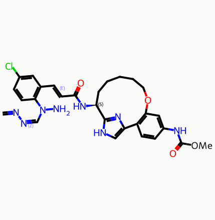 C=N/N=C\N(N)c1ccc(Cl)cc1/C=C/C(=O)N[C@H]1CCCCCOc2cc(NC(=O)OC)ccc2-c2c[nH]c1n2